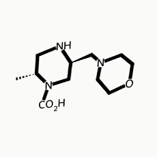 C[C@@H]1CN[C@@H](CN2CCOCC2)CN1C(=O)O